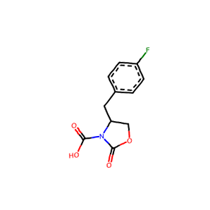 O=C(O)N1C(=O)OCC1Cc1ccc(F)cc1